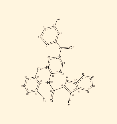 Cc1cccc(C(=O)c2ccc(N(C(=O)c3sc4ccccc4c3Cl)c3c(F)cccc3F)nc2)c1